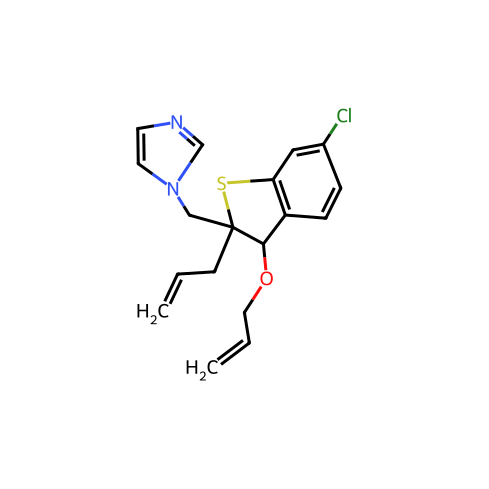 C=CCOC1c2ccc(Cl)cc2SC1(CC=C)Cn1ccnc1